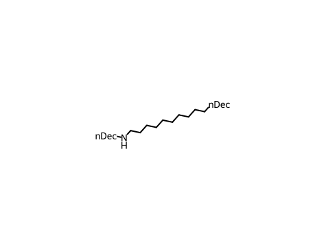 CCCCCCCCCCCCCCCCCCCCNCCCCCCCCCC